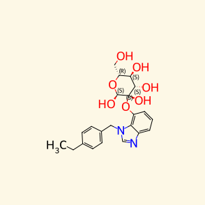 CCc1ccc(Cn2cnc3cccc(O[C@]4(O)[C@@H](O)O[C@H](CO)[C@@H](O)[C@@H]4O)c32)cc1